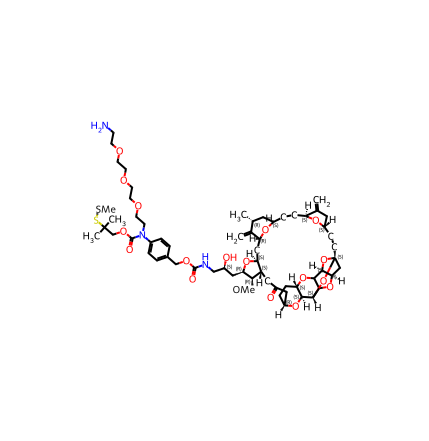 C=C1C[C@@H]2CC[C@@]34C[C@H]5OC6C(O[C@H]7CC[C@H](CC(=O)C[C@@H]8[C@@H](OC)[C@@H](C[C@H](O)CNC(=O)OCc9ccc(N(CCOCCOCCOCCN)C(=O)OCC(C)(C)SSC)cc9)O[C@H]8C[C@H]8O[C@@H](CC[C@@H]1O2)C[C@@H](C)C8=C)O[C@@H]7[C@@H]6O3)[C@H]5O4